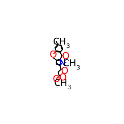 COC(=O)CC(=O)c1cc2c(n1C)C(=O)c1ccc(C)cc1OC2